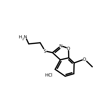 COc1cccc2c(SCCN)noc12.Cl